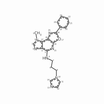 Cn1cnc2c(NCCCn3ccnc3)nc3oc(-c4ccccc4)nc3c21